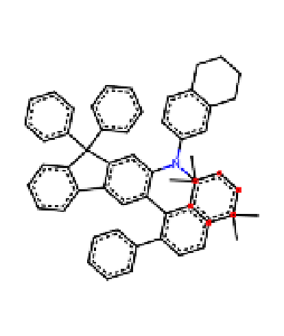 CC1(C)CCC(C)(C)c2c1ccc(-c1ccccc1)c2-c1cc2c(cc1N(c1ccccc1)c1ccc3c(c1)CCCC3)C(c1ccccc1)(c1ccccc1)c1ccccc1-2